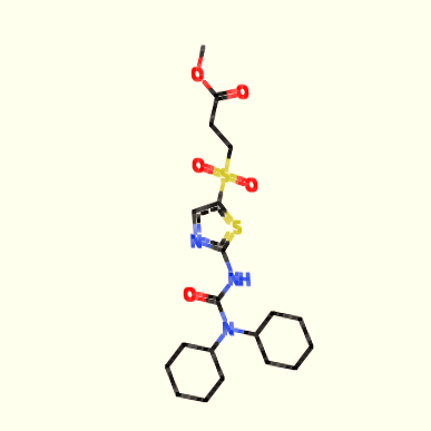 COC(=O)CCS(=O)(=O)c1cnc(NC(=O)N(C2CCCCC2)C2CCCCC2)s1